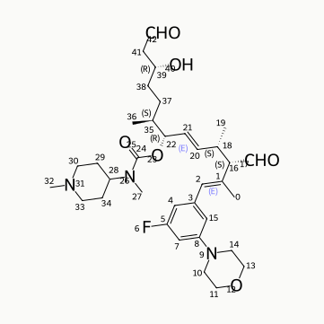 C/C(=C\c1cc(F)cc(N2CCOCC2)c1)[C@@H](C=O)[C@@H](C)/C=C/[C@H](OC(=O)N(C)C1CCN(C)CC1)[C@@H](C)CC[C@@H](O)CC=O